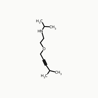 CC(C)C#CCOCCNC(C)C